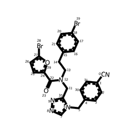 N#Cc1ccc(Cn2cnnc2CN(CCc2ccc(Br)cc2)C(=O)c2ccc(Br)o2)cc1